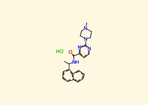 CC(NC(=O)c1ccnc(N2CCN(C)CC2)n1)c1cccc2ccccc12.Cl